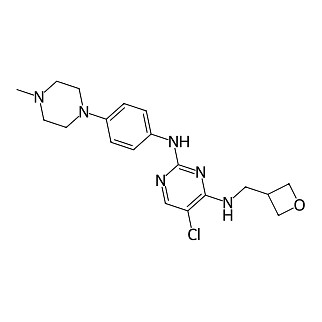 CN1CCN(c2ccc(Nc3ncc(Cl)c(NCC4COC4)n3)cc2)CC1